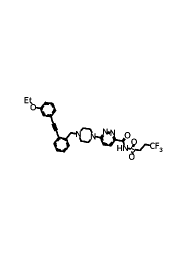 CCOc1cccc(C#Cc2ccccc2CN2CCN(c3ccc(C(=O)NS(=O)(=O)CCC(F)(F)F)nn3)CC2)c1